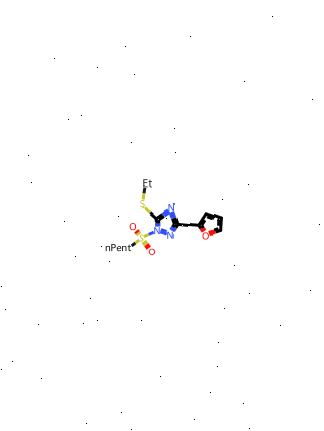 CCCCCS(=O)(=O)n1nc(-c2ccco2)nc1SCC